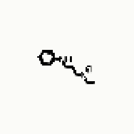 CCN(Cl)CCCNc1ccccc1